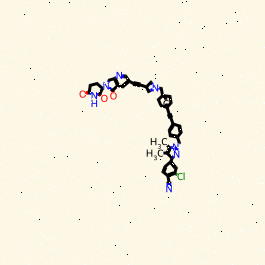 Cc1c(-c2ccc(C#N)c(Cl)c2)nn(Cc2ccc(C#CC34CCC(CN5CC(C#Cc6cnc7c(c6)C(=O)N(C6CCC(=O)NC6=O)C7)C5)(CC3)CC4)cc2)c1C